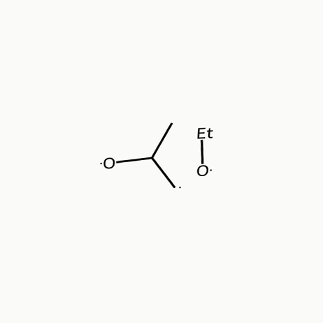 [CH2]C(C)[O].[CH2]C[O]